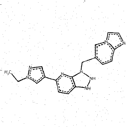 CCn1cc(-c2ccc3c(n2)N(Cc2ccc4nccn4c2)NN3)cn1